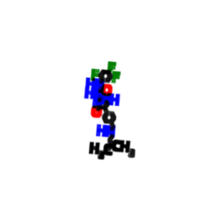 CC(C)=CCNCc1ccc(-c2c[nH]c(NC(=O)Nc3cc(F)c(F)cc3F)nc2=O)cc1